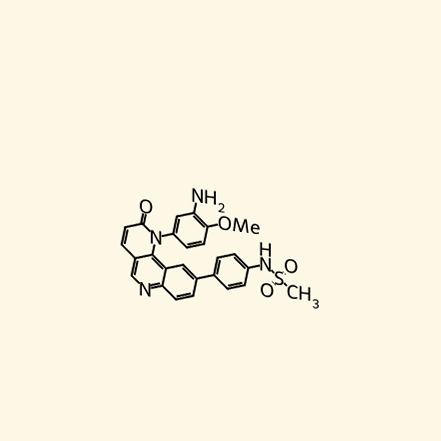 COc1ccc(-n2c(=O)ccc3cnc4ccc(-c5ccc(NS(C)(=O)=O)cc5)cc4c32)cc1N